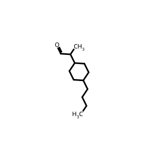 CCCCC1CCC(C(C)C=O)CC1